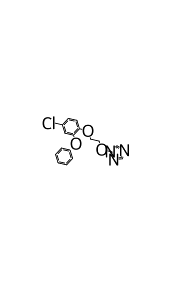 Clc1ccc(OCCOn2cncn2)c(Oc2ccccc2)c1